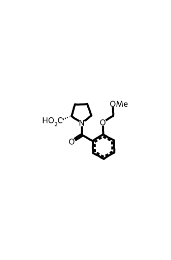 COCOc1ccccc1C(=O)N1CCC[C@H]1C(=O)O